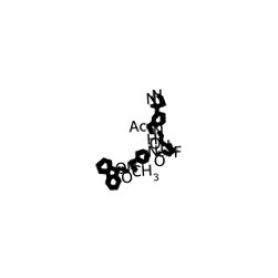 CC(=O)c1cn(CC(=O)N2C[C@H](F)C[C@H]2C(=O)Nc2ccc(CN(C)C(=O)OC3c4ccccc4-c4ccccc43)cc2)c2ccc(-c3ccnnc3)cc12